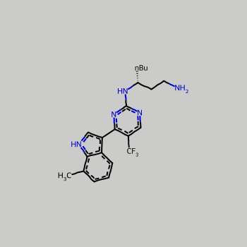 CCCC[C@H](CCN)Nc1ncc(C(F)(F)F)c(-c2c[nH]c3c(C)cccc23)n1